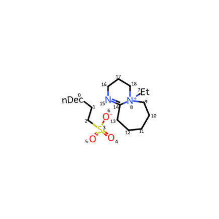 CCCCCCCCCCCCS(=O)(=O)[O-].CC[N+]12CCCCCC1=NCCC2